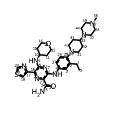 CCc1cc(Nc2nc(NC3CCOCC3)c(-c3cscn3)nc2C(N)=O)ccc1N1CCC(N2CCN(C)CC2)CC1